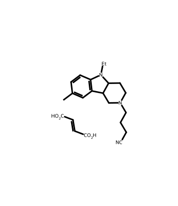 CCN1c2ccc(C)cc2C2CN(CCCC#N)CCC21.O=C(O)C=CC(=O)O